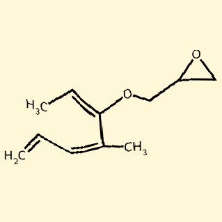 C=C/C=C(C)\C(=C/C)OCC1CO1